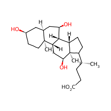 C[C@H](CCC(=O)O)C1CC[C@H]2[C@H]3[C@H](O)C[C@@H]4C[C@H](O)CC[C@]4(C)[C@H]3C[C@H](O)[C@]12C